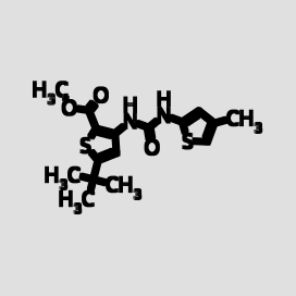 COC(=O)c1sc(C(C)(C)C)cc1NC(=O)Nc1cc(C)cs1